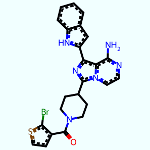 Nc1nccn2c(C3CCN(C(=O)c4ccsc4Br)CC3)nc(-c3cc4ccccc4[nH]3)c12